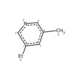 CCc1cncc(C)c1